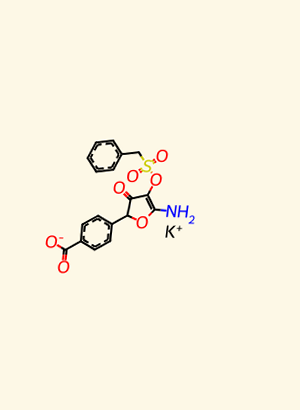 NC1=C(OS(=O)(=O)Cc2ccccc2)C(=O)C(c2ccc(C(=O)[O-])cc2)O1.[K+]